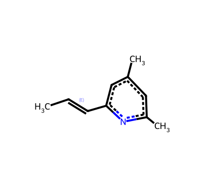 C/C=C/c1cc(C)cc(C)n1